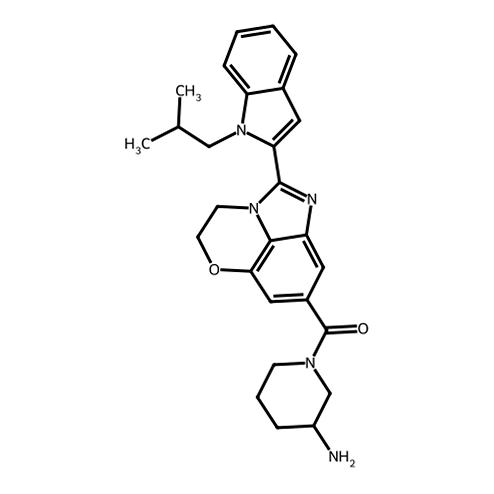 CC(C)Cn1c(-c2nc3cc(C(=O)N4CCCC(N)C4)cc4c3n2CCO4)cc2ccccc21